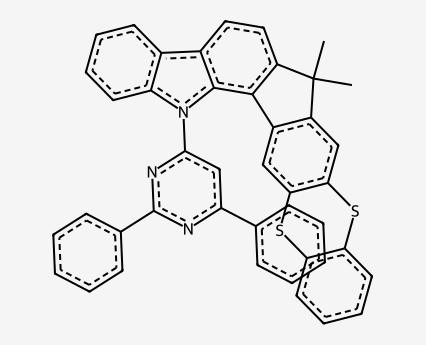 CC1(C)c2cc3c(cc2-c2c1ccc1c4ccccc4n(-c4cc(-c5ccccc5)nc(-c5ccccc5)n4)c21)Sc1ccccc1S3